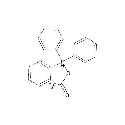 O=C(O[PH](c1ccccc1)(c1ccccc1)c1ccccc1)C(F)(F)F